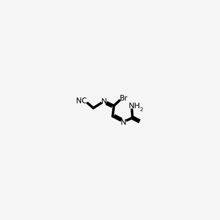 C=C(N)/N=C\C(Br)=N/CC#N